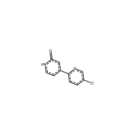 O=c1cc(-c2ccc(Cl)cn2)cc[nH]1